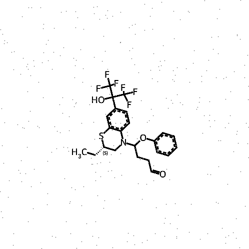 CC[C@H]1CN(C(CCC=O)Oc2ccccc2)c2ccc(C(O)(C(F)(F)F)C(F)(F)F)cc2S1